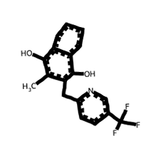 Cc1c(Cc2ccc(C(F)(F)F)cn2)c(O)c2ccccc2c1O